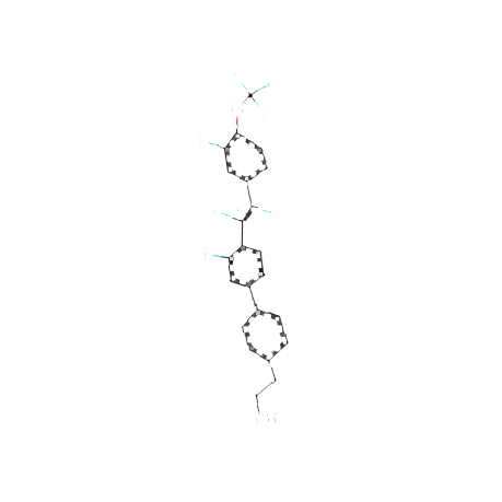 CCCc1ccc(-c2ccc(/C(F)=C(\F)c3ccc(OC(F)(F)F)c(F)c3)c(F)c2)cc1